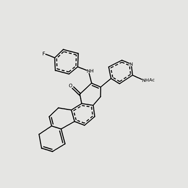 CC(=O)Nc1cc(C2=C(Nc3ccc(F)cc3)C(=O)c3c(ccc4c3CC=C3CC=CC=C34)C2)ccn1